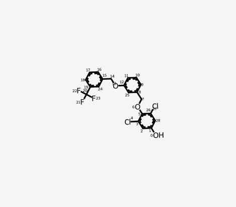 Oc1cc(Cl)c(OCc2cccc(OCc3cccc(C(F)(F)F)c3)c2)c(Cl)c1